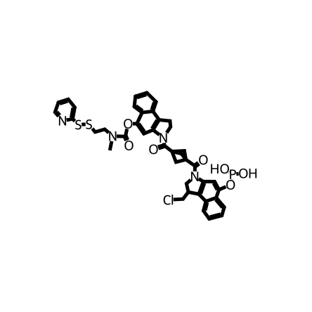 CN(CCSSc1ccccn1)C(=O)Oc1cc2c(c3ccccc13)CCN2C(=O)C12CC(C(=O)N3CC(CCl)c4c3cc(OP(O)O)c3ccccc43)(C1)C2